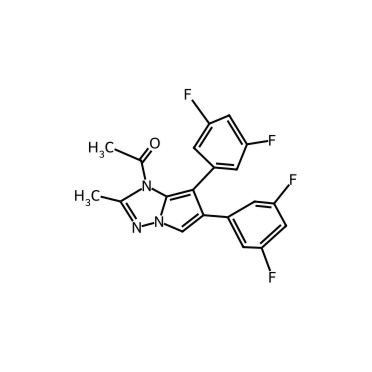 CC(=O)n1c(C)nn2cc(-c3cc(F)cc(F)c3)c(-c3cc(F)cc(F)c3)c12